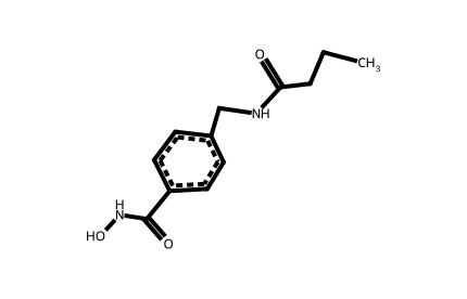 CCCC(=O)NCc1ccc(C(=O)NO)cc1